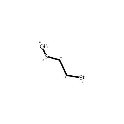 [CH2]CCCSO